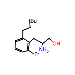 CC(C)c1cccc(CCC(C)(C)C)c1C[C@@H](N)CO